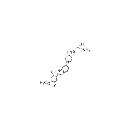 COc1cc(C)c(-c2cn3ccc(N4CCC(NSCC(C)OC)CC4)cc3n2)cc1Cl